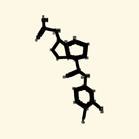 O=C(O)NC1CCc2c(C(=O)Nc3ccc(F)c(Cl)c3)ccnc21